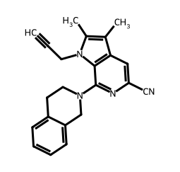 C#CCn1c(C)c(C)c2cc(C#N)nc(N3CCc4ccccc4C3)c21